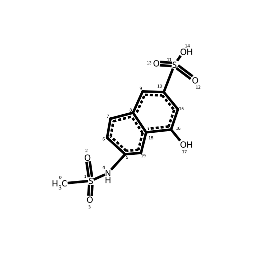 CS(=O)(=O)Nc1ccc2cc(S(=O)(=O)O)cc(O)c2c1